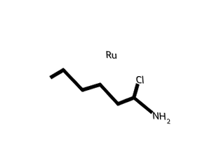 CCCCCC(N)Cl.[Ru]